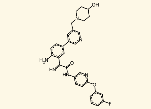 N=C(C(=O)Nc1ccc(Oc2cccc(F)c2)nc1)c1cc(-c2cncc(CN3CCC(O)CC3)c2)ccc1N